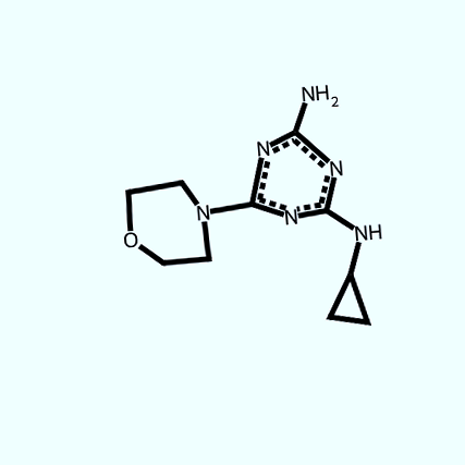 Nc1nc(NC2CC2)nc(N2CCOCC2)n1